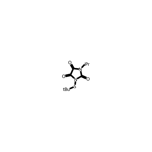 CC(C)N1C(=O)C(=O)N(SC(C)(C)C)C1=O